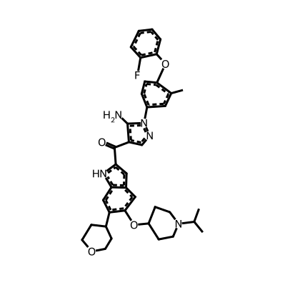 Cc1cc(-n2ncc(C(=O)c3cc4cc(OC5CCN(C(C)C)CC5)c(C5CCOCC5)cc4[nH]3)c2N)ccc1Oc1ccccc1F